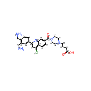 NCc1ccc(-c2cc(Cl)c3ccc(C(=O)N4CCN(CCCC(=O)O)CC4)cc3n2)cc1CN